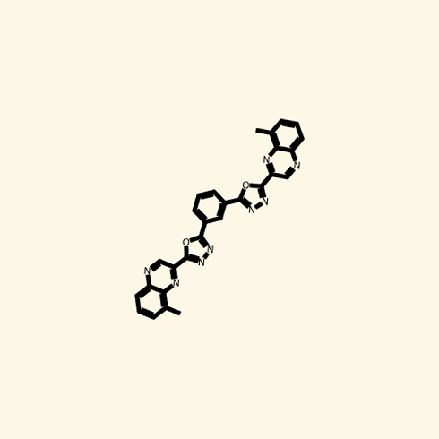 Cc1cccc2ncc(-c3nnc(-c4cccc(-c5nnc(-c6cnc7cccc(C)c7n6)o5)c4)o3)nc12